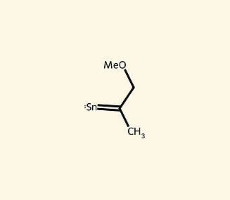 COC[C](C)=[Sn]